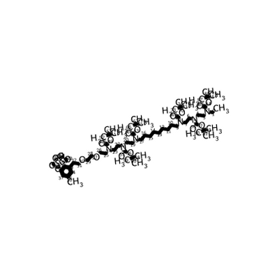 CCN(CCN(CCN(CCCCCCCCCN(CCN(CCN(CCOCCOCCc1cc(C)ccc1S(=O)(=O)S(=O)(=O)O)C(=O)OC(C)(C)C)C(=O)OC(C)(C)C)C(=O)OC(C)(C)C)C(=O)OC(C)(C)C)C(=O)OC(C)(C)C)C(=O)OC(C)(C)C